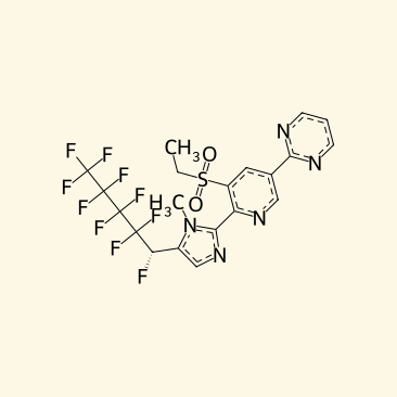 CCS(=O)(=O)c1cc(-c2ncccn2)cnc1-c1ncc([C@H](F)C(F)(F)C(F)(F)C(F)(F)C(F)(F)F)n1C